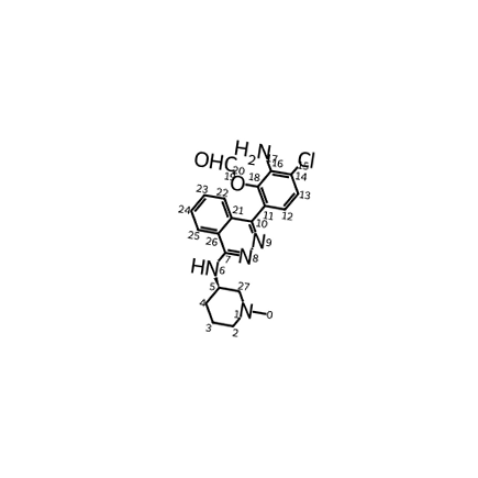 CN1CCC[C@@H](Nc2nnc(-c3ccc(Cl)c(N)c3OC=O)c3ccccc23)C1